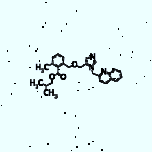 Cc1cccc(COCc2cncn2Cc2ccc3ccccc3n2)c1C(=O)OCC(C)C